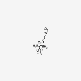 B/C(C(=O)OC)=C(/B)C(=O)OCCCCN1CCOCC1